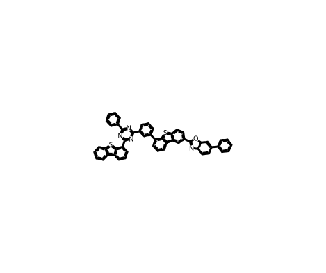 C1=CC2N=C(c3ccc4sc5c(-c6cccc(-c7nc(-c8ccccc8)nc(-c8cccc9c8sc8ccccc89)n7)c6)cccc5c4c3)OC2C=C1c1ccccc1